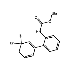 CC(C)(C)OC(=O)Nc1ccccc1C1=CC(Br)(Br)CC=C1